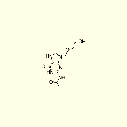 CC(=O)Nc1nc2c(c(=O)[nH]1)NCN2COCCO